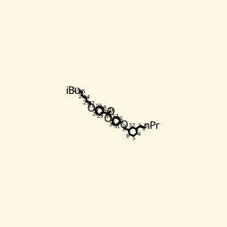 CCC/C=C/C1CCCC(COc2ccc(OC(=O)c3ccc(OCCCCCC(C)CC)cc3)cc2)C1